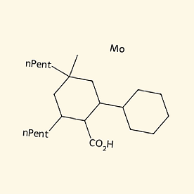 CCCCCC1CC(C)(CCCCC)CC(C2CCCCC2)C1C(=O)O.[Mo]